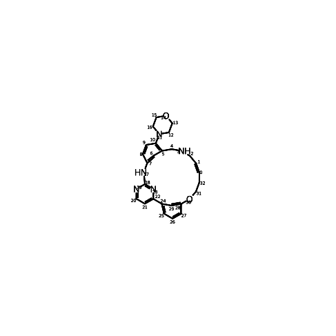 C1=C\CNCc2cc(ccc2N2CCOCC2)Nc2nccc(n2)-c2cccc(c2)OCC/1